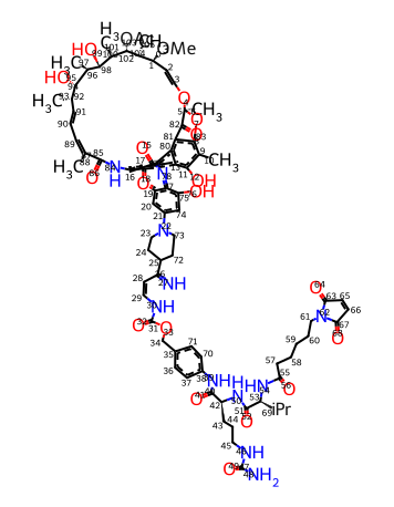 CO[C@H]1/C=C/O[C@@]2(C)Oc3c(C)c(O)c4c(=O)c(c5oc6cc(N7CCC(C(=N)/C=C\NC(=O)OCc8ccc(NC(=O)[C@H](CCCNC(N)=O)NC(=O)[C@@H](NC(=O)CCCCCN9C(=O)C=CC9=O)C(C)C)cc8)CC7)cc(O)c6nc-5c4c3C2=O)NC(=O)/C(C)=C\C=C\[C@H](C)[C@H](O)[C@@H](C)[C@@H](O)[C@@H](C)[C@H](OC(C)=O)[C@@H]1C